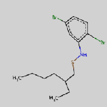 CCCCC(CC)CSNc1cc(Br)ccc1Br